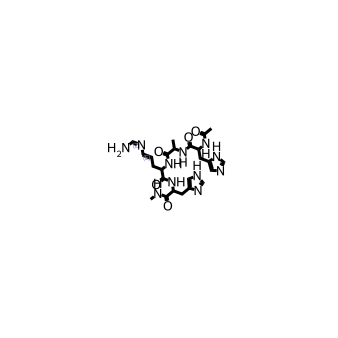 CNC(=O)C(Cc1c[nH]cn1)NC(=O)C(C/C=C/N=C\N)NC(=O)C(C)NC(=O)C(Cc1cnc[nH]1)NC(C)=O